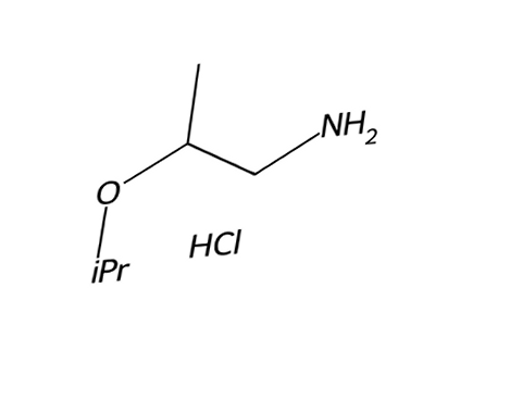 CC(C)OC(C)CN.Cl